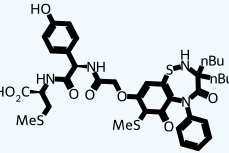 CCCCC1(CCCC)NSC2=C(C(=O)C(SC)C(OCC(=O)N[C@@H](C(=O)N[C@@H](CSC)C(=O)O)c3ccc(O)cc3)=C2)N(c2ccccc2)C1=O